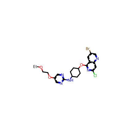 CCOCCOc1cnc(NC2CCC(Oc3nc(Cl)cc4ncc(Br)cc34)CC2)nc1